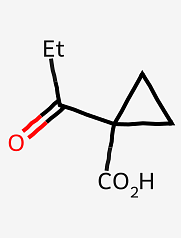 CCC(=O)C1(C(=O)O)CC1